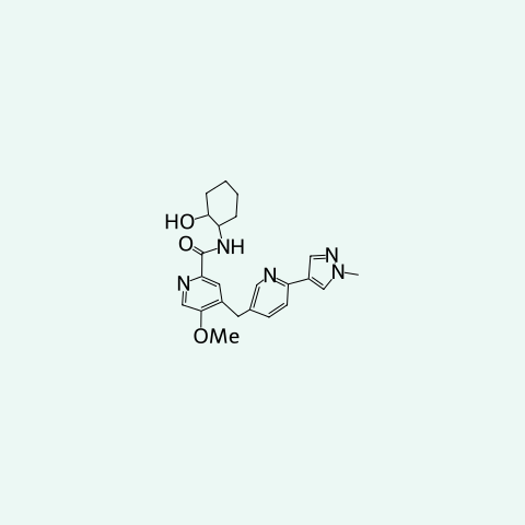 COc1cnc(C(=O)NC2CCCCC2O)cc1Cc1ccc(-c2cnn(C)c2)nc1